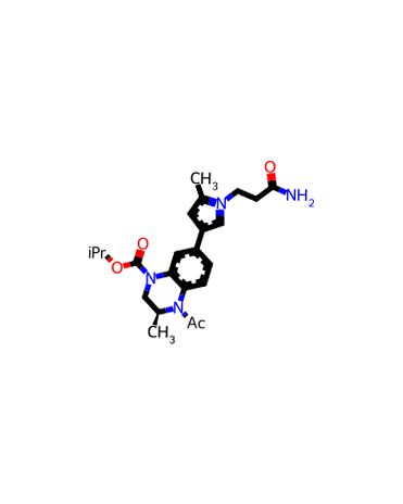 CC(=O)N1c2ccc(-c3cc(C)n(CCC(N)=O)c3)cc2N(C(=O)OC(C)C)C[C@@H]1C